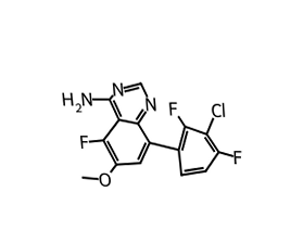 COc1cc(-c2ccc(F)c(Cl)c2F)c2ncnc(N)c2c1F